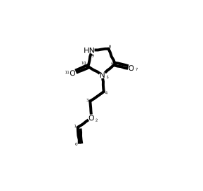 C=COCCN1C(=O)CNC1=O